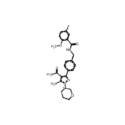 COc1ccc(F)cc1C(=O)NCc1ccc(-c2nn([C@@H]3CCCOC3)c(N)c2C(N)=O)cc1